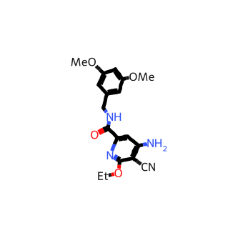 CCOc1nc(C(=O)NCc2cc(OC)cc(OC)c2)cc(N)c1C#N